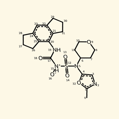 Cc1ncc(N(C2CCOCC2)S(=O)(=O)[NH+]([O-])C(=O)Nc2c3c(cc4c2CCC4)CCC3)o1